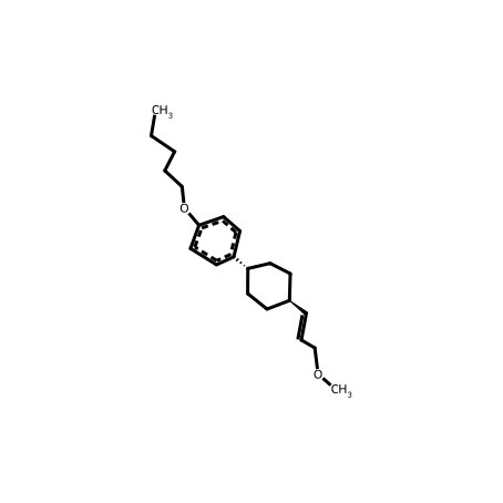 CCCCCOc1ccc([C@H]2CC[C@H](C=CCOC)CC2)cc1